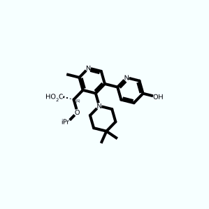 Cc1ncc(-c2ccc(O)cn2)c(N2CCC(C)(C)CC2)c1[C@H](OC(C)C)C(=O)O